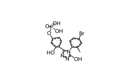 Cc1cc(Br)ccc1-n1c(O)nnc1-c1ccc(OP(=O)(O)O)cc1O